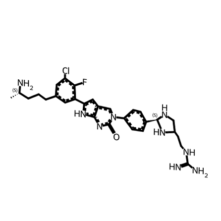 C[C@H](N)CCCc1cc(Cl)c(F)c(-c2cc3cn(-c4ccc([C@H]5NCC(CCNC(=N)N)N5)cc4)c(=O)nc3[nH]2)c1